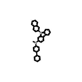 CN(c1ccc(-c2ccccc2)cc1)c1ccc2c3ccccc3n(-c3ccc4ccccc4c3)c2c1